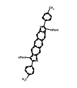 CCCCCc1c(-c2ccc(C)cc2)sc2cc3cc4cc5c(CCCCC)c(-c6ccc(C)cc6)sc5cc4cc3cc12